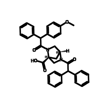 COc1ccc(C(C(=O)N2C[C@@H]3C[C@]2(C(=O)O)CN3C(=O)C(c2ccccc2)c2ccccc2)c2ccccc2)cc1